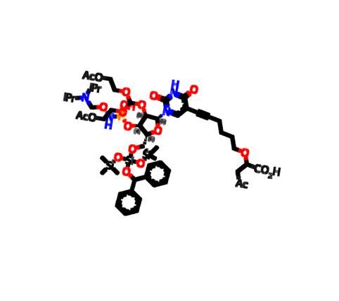 CC(=O)CC(OCCCCC#Cc1cn([C@@H]2O[C@H](CO[Si](OC(c3ccccc3)c3ccccc3)(O[Si](C)(C)C)O[Si](C)(C)C)[C@@H](OP(O)NOCN(C(C)C)C(C)C)[C@H]2OC(OCCOC(C)=O)OCCOC(C)=O)c(=O)[nH]c1=O)C(=O)O